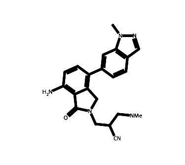 CNCC(C#N)CN1Cc2c(-c3ccc4cnn(C)c4c3)ccc(N)c2C1=O